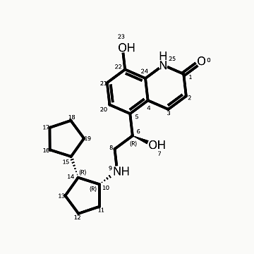 O=c1ccc2c([C@@H](O)CN[C@@H]3CCC[C@@H]3C3CCCC3)ccc(O)c2[nH]1